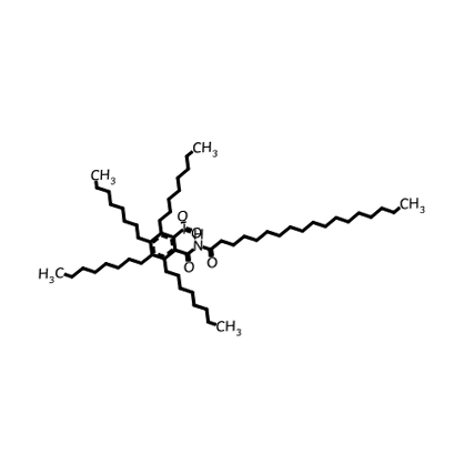 CCCCCCCCCCCCCCCCCC(=O)NC(=O)c1c(CCCCCCCC)c(CCCCCCCC)c(CCCCCCCC)c(CCCCCCCC)c1I(=O)=O